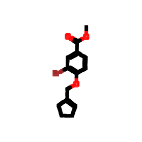 COC(=O)c1ccc(OCC2=CCCC2)c(Br)c1